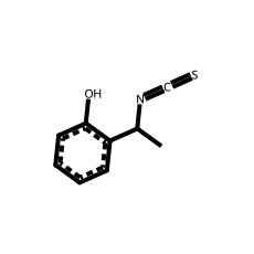 CC(N=C=S)c1ccccc1O